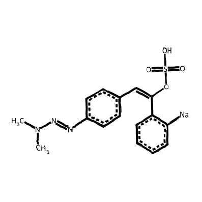 CN(C)N=Nc1ccc(/C=C(/OS(=O)(=O)O)c2cccc[c]2[Na])cc1